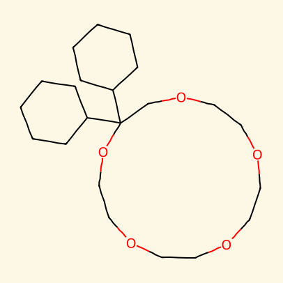 C1CCC(C2(C3CCCCC3)COCCOCCOCCOCCO2)CC1